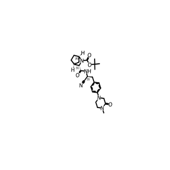 CN1CCN(c2ccc(C[C@@H](C#N)NC(=O)[C@@H]3[C@H]4CC[C@H](C4)N3C(=O)OC(C)(C)C)cc2)CC1=O